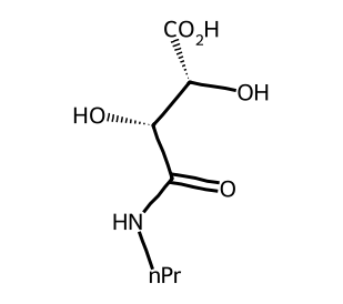 CCCNC(=O)[C@H](O)[C@@H](O)C(=O)O